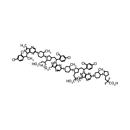 Cc1nn(C(C)c2ccc(Cl)cc2Cl)c2nc(N3CCC(N4CC(CC(c5ccc(Cl)cc5Cl)n5nc(C)c6ncc(N7CCC(N8CC(CC(c9ccc(Cl)cc9Cl)n9nc(C)c%10ncc(N%11CCC(N%12CCCC%12CC(F)(F)C(=O)O)C(C)C%11)nc%109)CC8CC(O)C(=O)O)C(C)C7)nc65)CC4C(C)CC(=O)O)C(C)C3)cnc12